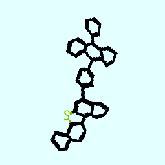 c1ccc(-c2c3ccccc3c(-c3ccc(-c4cc5sc6c7ccccc7ccc6c5c5ccccc45)cc3)c3ccccc23)cc1